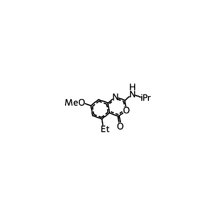 CCc1cc(OC)cc2nc(NC(C)C)oc(=O)c12